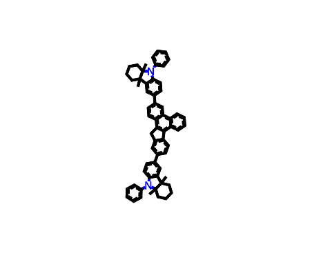 CC12CCCCC1(C)N(c1ccccc1)c1ccc(-c3ccc4c(c3)Cc3c-4c4ccccc4c4cc(-c5ccc6c(c5)C5(C)CCCCC5(C)N6c5ccccc5)ccc34)cc12